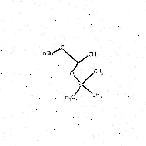 CCCCOC(C)O[Si](C)(C)C